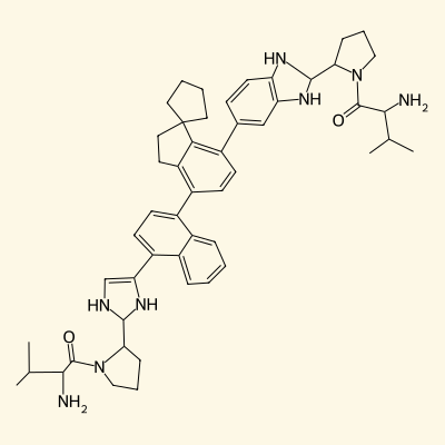 CC(C)C(N)C(=O)N1CCCC1C1NC=C(c2ccc(-c3ccc(-c4ccc5c(c4)NC(C4CCCN4C(=O)C(N)C(C)C)N5)c4c3CCC43CCCC3)c3ccccc23)N1